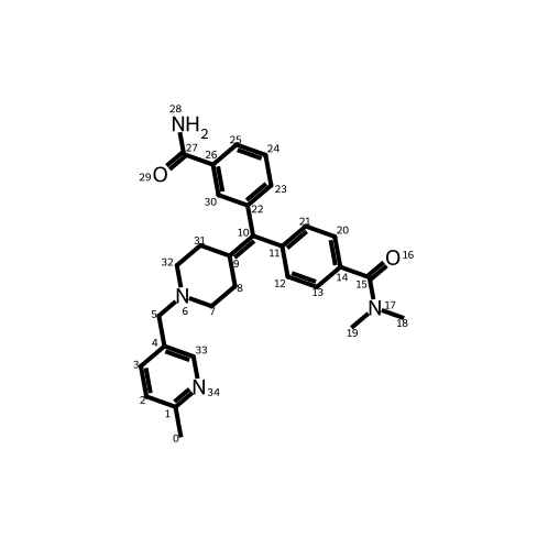 Cc1ccc(CN2CCC(=C(c3ccc(C(=O)N(C)C)cc3)c3cccc(C(N)=O)c3)CC2)cn1